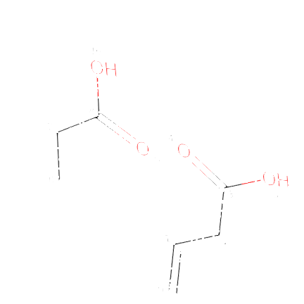 C=CCC(=O)O.CCC(=O)O